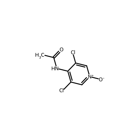 CC(=O)Nc1c(Cl)c[n+]([O-])cc1Cl